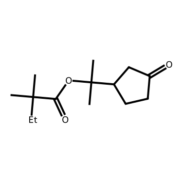 CCC(C)(C)C(=O)OC(C)(C)C1CCC(=O)C1